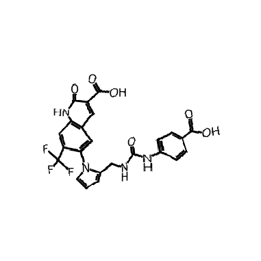 O=C(NCc1cccn1-c1cc2cc(C(=O)O)c(=O)[nH]c2cc1C(F)(F)F)Nc1ccc(C(=O)O)cc1